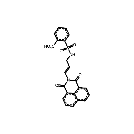 O=C(O)c1ccccc1S(=O)(=O)NCC=CN1C(=O)c2cccc3cccc(c23)C1=O